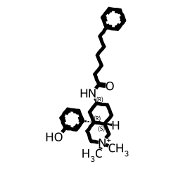 C[N+]1(C)CC[C@@]2(c3cccc(O)c3)C[C@H](NC(=O)CCCCCc3ccccc3)CC[C@@H]2C1